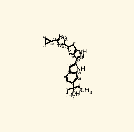 CCC(O)(CC)c1ccc2cc(-c3n[nH]c4c3SC(c3nc(C5CC5)no3)C4)[nH]c2c1